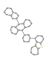 c1cc(-c2c3ccccc3c(-c3ccc4ccccc4c3)c3ccccc23)cc(-c2cccc3sc4ccccc4c23)c1